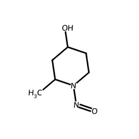 CC1CC(O)CCN1N=O